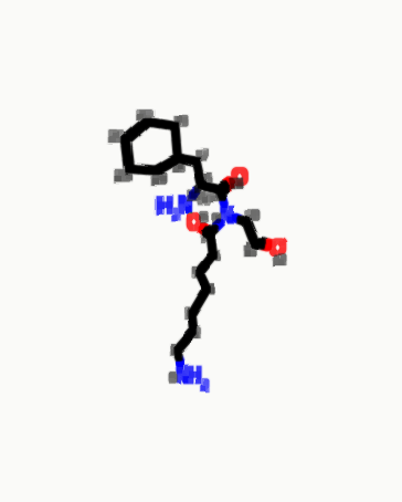 NCCCCCCC(=O)N(C[C]=O)C(=O)[C@@H](N)CC1CCCCC1